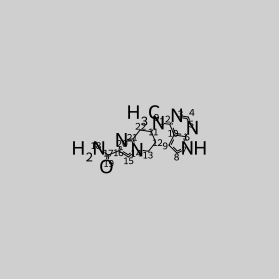 CN(c1ncnc2[nH]ccc12)C1CCn2cc(C(N)=O)nc2C1